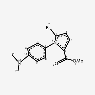 COC(=O)c1ccc(Br)n1-c1ccc(N(C)C)cc1